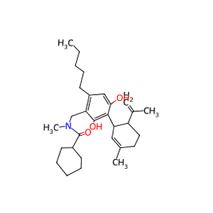 C=C(C)C1CCC(C)=CC1c1c(O)cc(CCCCC)c(CN(C)C(=O)C2CCCCC2)c1O